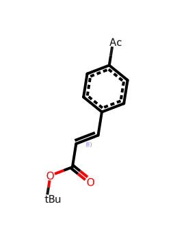 CC(=O)c1ccc(/C=C/C(=O)OC(C)(C)C)cc1